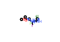 N/C(=N\C(NCC1CCCN(C(=O)c2ccccc2Oc2ccccc2)C1)=C(\F)CI)c1c[nH]c2ncc(Cl)cc12